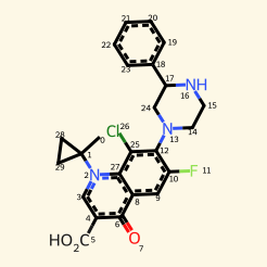 CC1(n2cc(C(=O)O)c(=O)c3cc(F)c(N4CCNC(c5ccccc5)C4)c(Cl)c32)CC1